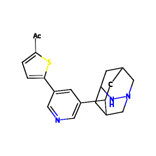 CC(=O)c1ccc(-c2cncc(C3CC4CC5CC3CN(C4)N5)c2)s1